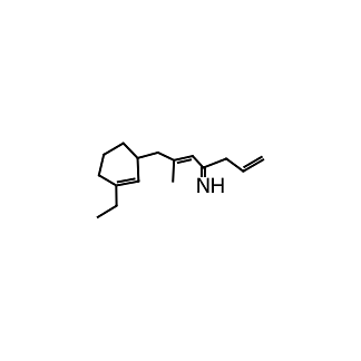 C=CCC(=N)/C=C(\C)CC1C=C(CC)CCC1